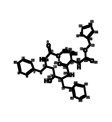 CC(C)(C)OC(=O)NC(Cc1ccccc1)CC(O)C(Cc1ccccc1)NC(=O)C(NC(=O)OCc1cncs1)C(C)(C)C